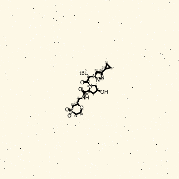 CC(C)(C)[C@@H](C(=O)N1CC(O)CC1C(=O)NCC1CS(=O)(=O)CCO1)n1cc(C2CC2)nn1